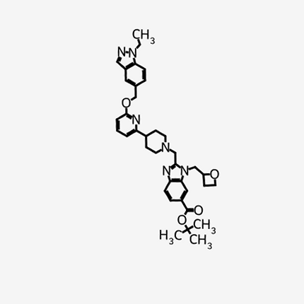 CCn1ncc2cc(COc3cccc(C4CCN(Cc5nc6ccc(C(=O)OC(C)(C)C)cc6n5CC5CCO5)CC4)n3)ccc21